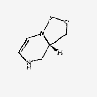 C1=CN2SOC[C@@H]2CN1